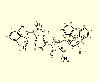 C=C(C)C1CN(c2c(F)cccc2F)C(=O)c2ccc(-n3nc(CO[Si](c4ccccc4)(c4ccccc4)C(C)(C)C)n(CC)c3=O)cc21